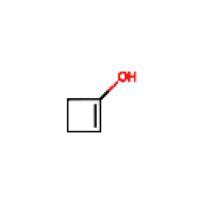 OC1=CCC1